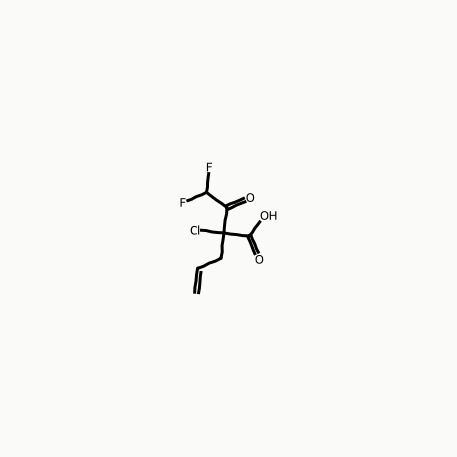 C=CCC(Cl)(C(=O)O)C(=O)C(F)F